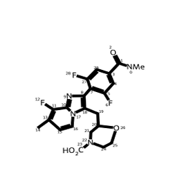 CNC(=O)c1cc(F)c(-c2nc3c(F)c(C)ccn3c2CC2CN(C(=O)O)CCO2)c(F)c1